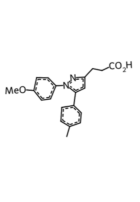 COc1ccc(-n2nc(CCC(=O)O)cc2-c2ccc(C)cc2)cc1